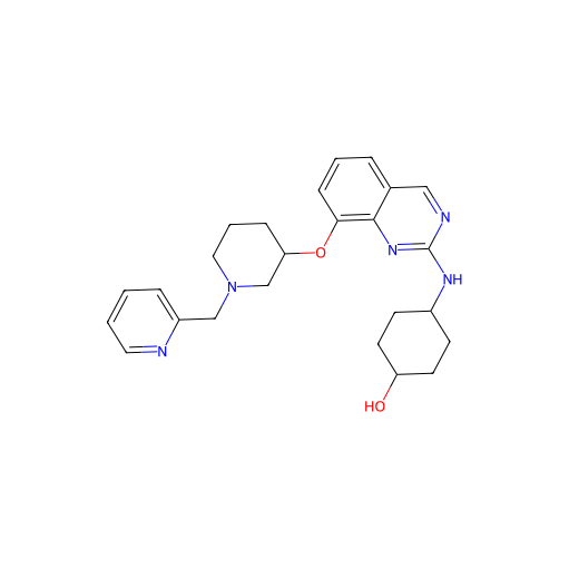 OC1CCC(Nc2ncc3cccc(OC4CCCN(Cc5ccccn5)C4)c3n2)CC1